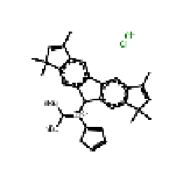 CCCC[C](CCCC)=[Zr+2]([C]1=CC=CC1)[CH]1c2cc3c(cc2-c2cc4c(cc21)C(C)(C)C=C4C)C(C)=CC3(C)C.[Cl-].[Cl-]